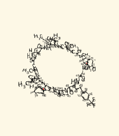 CC[C@H](C)[C@@H]1NC(=O)[C@H](C)N(C)C(=O)CC(C)NC(=O)[C@H](CC(C)C)N(C)C(=O)[C@H](Cc2ccccc2)N(C)C(=O)[C@@H]2CCN2C(=O)[C@H](CCc2ccc(C(F)(F)F)cc2)NC(=O)CN(C)C(=O)[C@H](Cc2ccc(Cl)cc2)N(C)C(=O)CN(C)C(=O)CN(C)C1=O